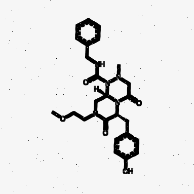 COCCN1C[C@H]2N(C(=O)CN(C)N2C(=O)NCc2ccccc2)[C@@H](Cc2ccc(O)cc2)C1=O